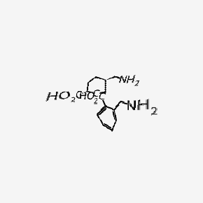 NC[C@H]1CC[C@H](C(=O)O)CC1.NCc1ccccc1C(=O)O